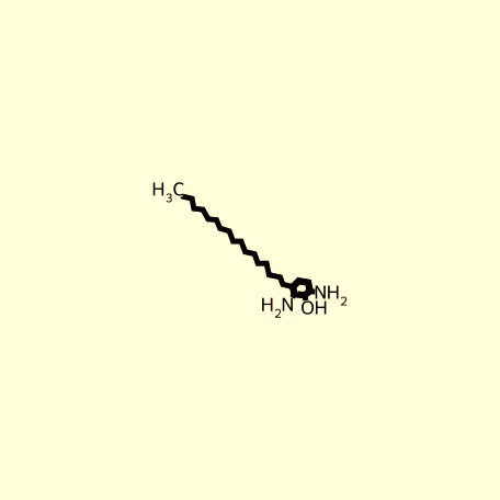 CCCCCCCCCCCCCCCCCCc1ccc(N)c(O)c1N